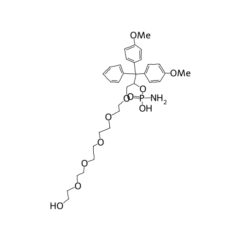 COc1ccc(C(c2ccccc2)(c2ccc(OC)cc2)C(COCCOCCOCCOCCOCCO)OP(N)(=O)O)cc1